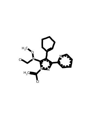 C=C(Cl)n1nc(-c2ccccn2)c(C2=CCCCC2)c1N(CCl)OC